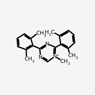 Cc1cccc(C)c1-c1nc[n+](C)c(-c2c(C)cccc2C)n1